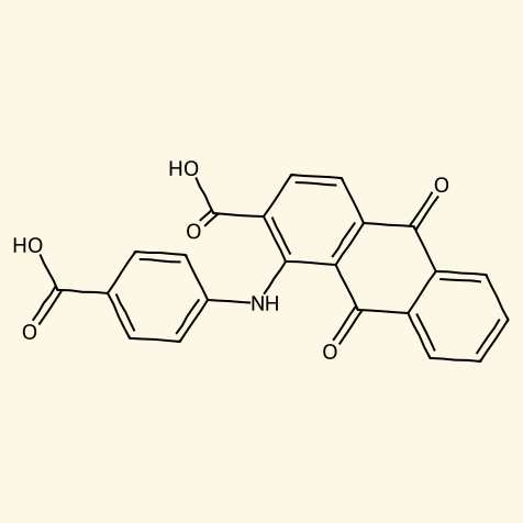 O=C(O)c1ccc(Nc2c(C(=O)O)ccc3c2C(=O)c2ccccc2C3=O)cc1